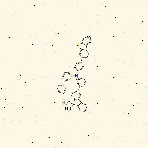 CC1(C)c2ccccc2-c2cc(-c3cccc(N(c4ccc(-c5ccc6c(c5)sc5ccccc56)cc4)c4cccc(-c5ccccc5)c4)c3)ccc21